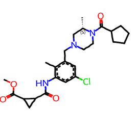 COC(=O)C1CC1C(=O)Nc1cc(Cl)cc(CN2CCN(C(=O)C3CCCC3)[C@@H](C)C2)c1C